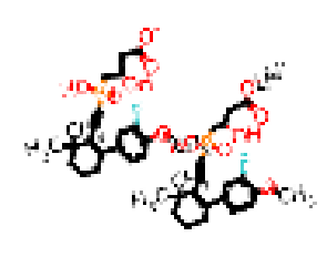 COc1ccc(C2=C(C#CP(=O)(O)C[C@@H](O)CC(=O)[O-])C(C)(C)CCC2)cc1F.COc1ccc(C2=C(C#CP(=O)(O)C[C@@H](O)CC(=O)[O-])C(C)(C)CCC2)cc1F.[Li+].[Li+]